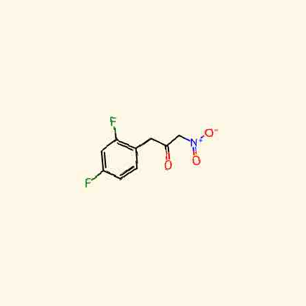 O=C(Cc1ccc(F)cc1F)C[N+](=O)[O-]